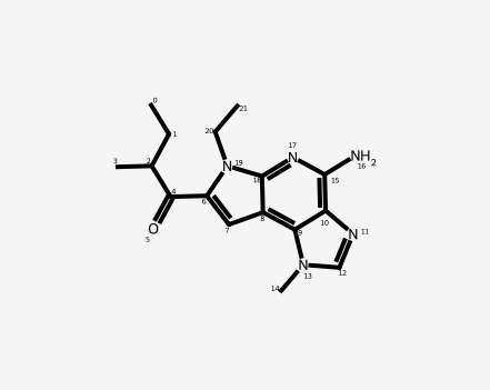 CCC(C)C(=O)c1cc2c3c(ncn3C)c(N)nc2n1CC